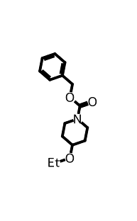 CCOC1CCN(C(=O)OCc2ccccc2)CC1